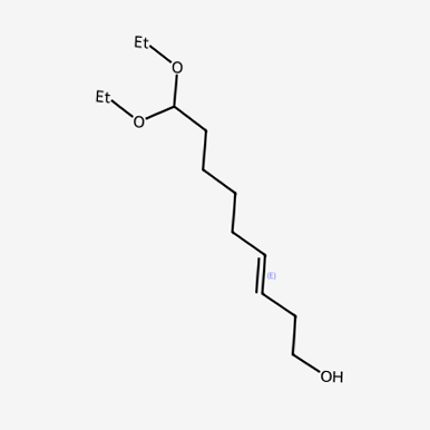 CCOC(CCCC/C=C/CCO)OCC